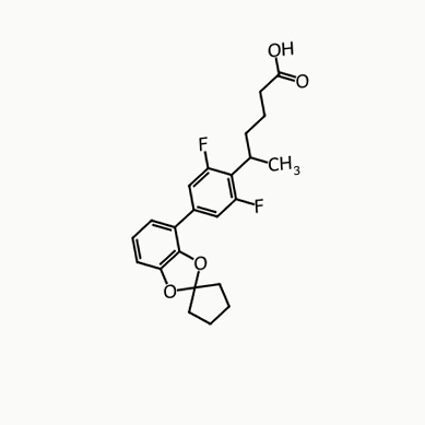 CC(CCCC(=O)O)c1c(F)cc(-c2cccc3c2OC2(CCCC2)O3)cc1F